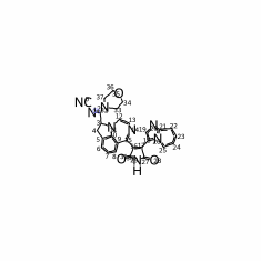 N#C/N=C(/C1Cc2cccc3c2N1C=CN=C3C1=C(c2cnc3ccccn23)C(=O)NC1=O)N1CCOCC1